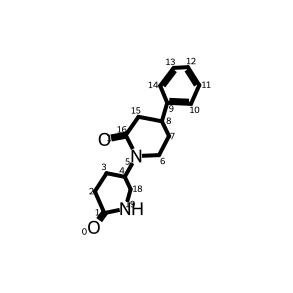 O=C1CCC(N2CCC(c3ccccc3)CC2=O)CN1